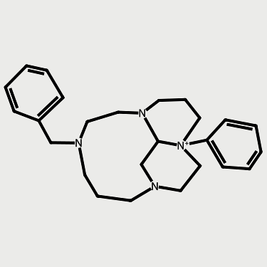 c1ccc(CN2CCCN3CC[N+]4(c5ccccc5)CCCN(CC2)C4C3)cc1